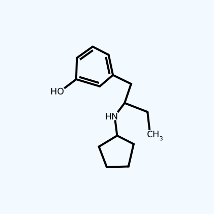 CCC(Cc1cccc(O)c1)NC1CCCC1